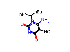 CCCCC(CCC)n1c(N)c(N=O)c(=O)[nH]c1=O